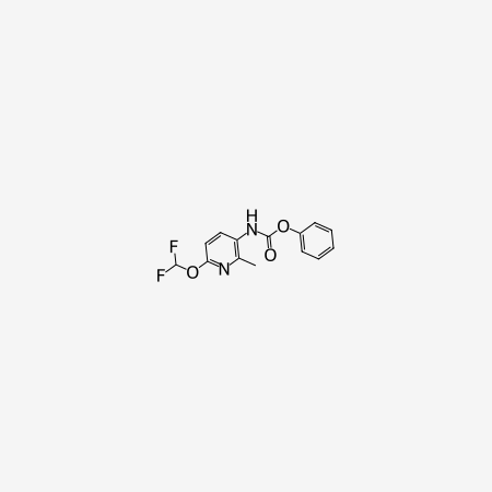 Cc1nc(OC(F)F)ccc1NC(=O)Oc1ccccc1